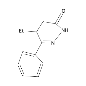 CCC1CC(=O)NN=C1c1cc[c]cc1